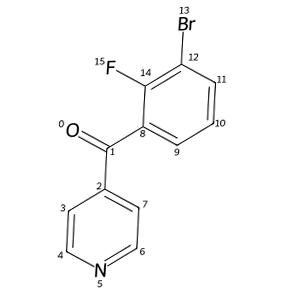 O=C(c1ccncc1)c1cccc(Br)c1F